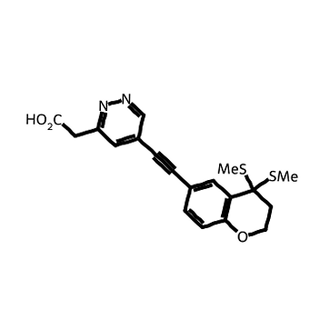 CSC1(SC)CCOc2ccc(C#Cc3cnnc(CC(=O)O)c3)cc21